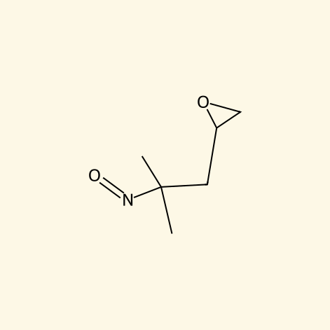 CC(C)(CC1CO1)N=O